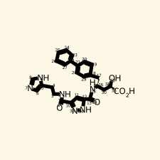 O=C(NCCc1cnc[nH]1)c1cc(C(=O)N[C@H](Cc2ccc(-c3ccccc3)cc2)C[C@@H](O)C(=O)O)[nH]n1